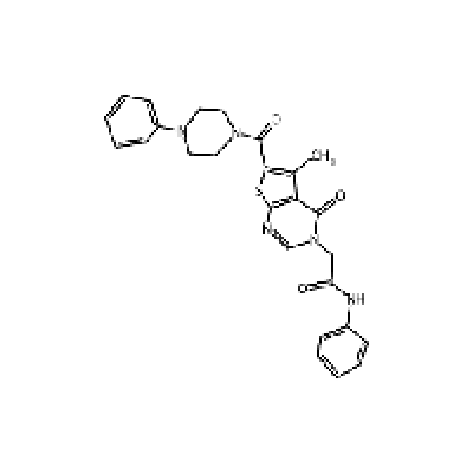 Cc1c(C(=O)N2CCN(c3ccccc3)CC2)sc2ncn(CC(=O)Nc3ccccc3)c(=O)c12